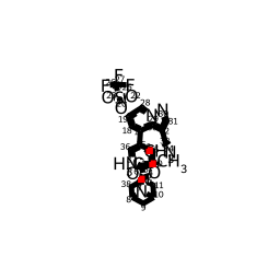 CC(C)(C)OC(=O)N1C2CC1CN(c1ccc(-c3cc(OS(=O)(=O)C(F)(F)F)cn4ncc(C#N)c34)cn1)C2